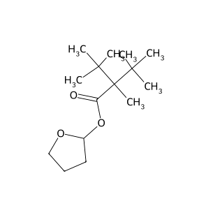 CC(C)(C)C(C)(C(=O)OC1CCCO1)C(C)(C)C